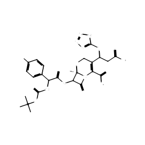 CC(C)(C)OC(=O)NC(C(=O)NC1C(=O)N2C(C(=O)O)=C(C(CC(=O)O)Sc3nnn[nH]3)CS[C@@H]12)c1ccc(O)cc1